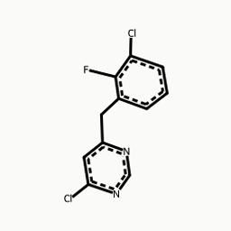 Fc1c(Cl)cccc1Cc1cc(Cl)ncn1